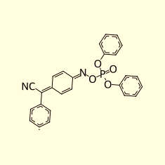 N#CC(=C1C=CC(=NOP(=O)(Oc2ccccc2)Oc2ccccc2)C=C1)c1cc[c]cc1